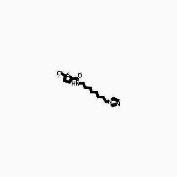 O=C(NCCCCCCCCn1ccnc1)c1ccc(Cl)s1